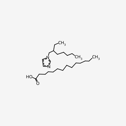 CCCCCC(CC)Cn1ccnc1.CCCCCCCCCCCCCC(=O)O